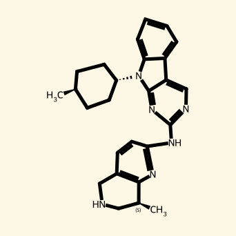 C[C@H]1CNCc2ccc(Nc3ncc4c5ccccc5n([C@H]5CC[C@H](C)CC5)c4n3)nc21